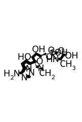 C=NC[C@@]1(c2ccc3c(N)ncnn23)O[C@H](COP(=O)(O)N[C@@H](C)C(=O)O)[C@@H](O)[C@H]1O